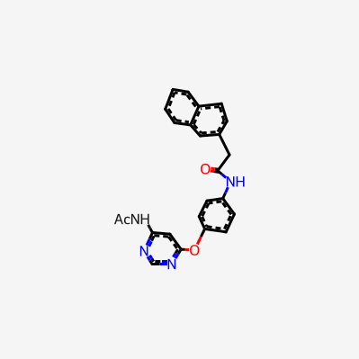 CC(=O)Nc1cc(Oc2ccc(NC(=O)Cc3ccc4ccccc4c3)cc2)ncn1